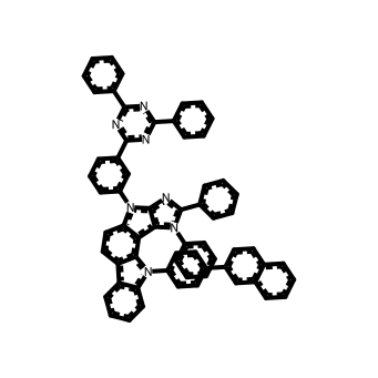 c1ccc(-c2nc(-c3ccccc3)nc(-c3cccc(-n4c5ccc6c7ccccc7n(-c7ccc(-c8ccc9ccccc9c8)cc7)c6c5c5c4nc(-c4ccccc4)n5-c4ccccc4)c3)n2)cc1